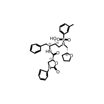 Cc1cccc(S(=O)(=O)N(C[C@H]2CCCO2)C[C@@H](O)[C@H](Cc2ccccc2)NC(=O)[C@@H]2CN(c3ccccc3)C(=O)O2)c1